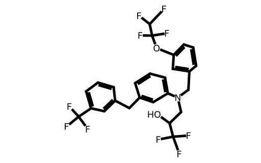 OC(CN(Cc1cccc(OC(F)(F)C(F)F)c1)c1cccc(Cc2cccc(C(F)(F)F)c2)c1)C(F)(F)F